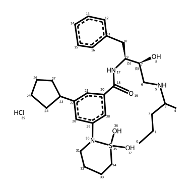 CCCC(C)NC[C@H](O)[C@H](Cc1ccccc1)NC(=O)c1cc(C2CCCC2)cc(N2CCCCS2(O)O)c1.Cl